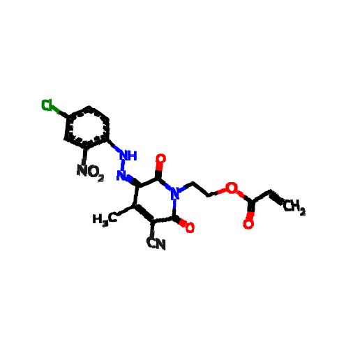 C=CC(=O)OCCN1C(=O)C(C#N)=C(C)/C(=N/Nc2ccc(Cl)cc2[N+](=O)[O-])C1=O